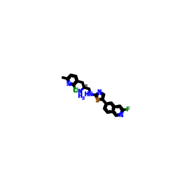 Cc1ccc(C[C@H](N)CNc2ncc(-c3ccc4cnc(F)cc4c3)s2)c(Cl)n1